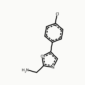 NCc1ncc(-c2ccc(Cl)cc2)o1